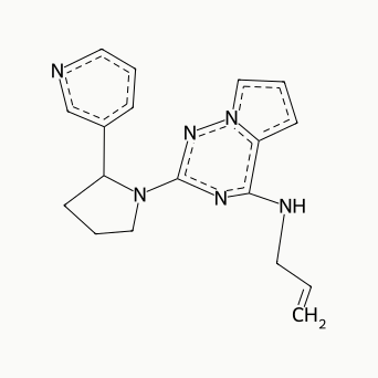 C=CCNc1nc(N2CCCC2c2cccnc2)nn2cccc12